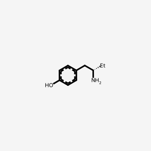 CC[C@H](N)Cc1ccc(O)cc1